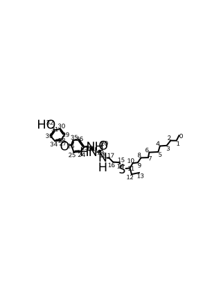 CCCCCCCCCCCC(CC)SCCCNC(=O)NNc1ccc(Oc2ccc(O)cc2)cc1